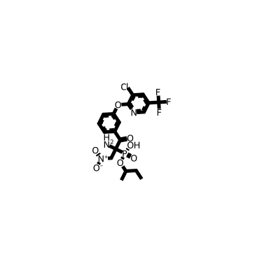 CCC(C)OP(=O)(O)C(N)(C[N+](=O)[O-])C(=O)c1cccc(Oc2ncc(C(F)(F)F)cc2Cl)c1